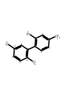 CCc1cc(C(F)(F)F)ccc1-c1cc(Cl)ccc1Cl